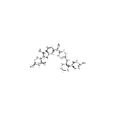 O=C1CCC(N2Cc3cc(C(=O)N4CCN(CC5=C(c6ccc(F)cc6)CCCC5)CC4)ccc3C2=O)C(=O)N1